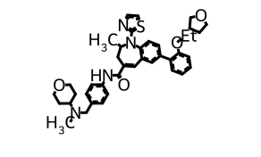 C1CCOC1.CCOc1ccccc1-c1ccc2c(c1)C=C(C(=O)Nc1ccc(CN(C)C3CCOCC3)cc1)CC(C)N2c1nccs1